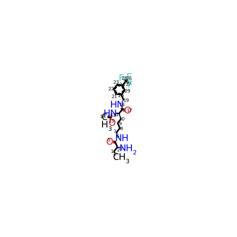 CC[C@H](N)C(=O)NCCCC[C@@H](NC(C)=O)C(=O)NCc1cccc(C(F)(F)F)c1